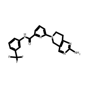 Nc1ncc2c(n1)CCN(c1cccc(C(=O)Nc3cccc(C(F)(F)F)c3)n1)C2